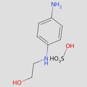 Nc1ccc(NCCO)cc1.O=S(=O)(O)O